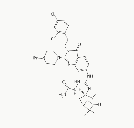 CC1[C@@H](/N=C(\NNC(N)=O)Nc2ccc3c(=O)n(CCc4ccc(Cl)cc4Cl)c(N4CCN(C(C)C)CC4)nc3c2)CC2C[C@H]1C2(C)C